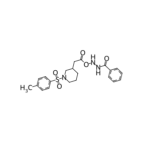 Cc1ccc(S(=O)(=O)N2CCCC(CC(=O)ONNC(=O)c3ccccc3)C2)cc1